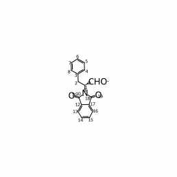 O=[C][C@H](Cc1ccccc1)N1C(=O)c2ccccc2C1=O